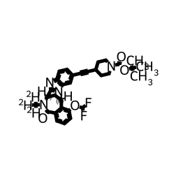 [2H]C([2H])([2H])N1C(=O)c2cccc(OC(F)F)c2[C@H]2C[C@@H]1c1nc3ccc(C#CC4CCN(C(=O)OC(C)(C)C)CC4)cc3n12